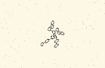 c1ccc(-c2ccc(-c3ccc4c(c3)c(-c3ccc(-c5ccccc5)cc3)cn4-c3cc(-c4cccc5c4oc4ccccc45)cc(-c4cccc5c4oc4ccccc45)c3)cc2)cc1